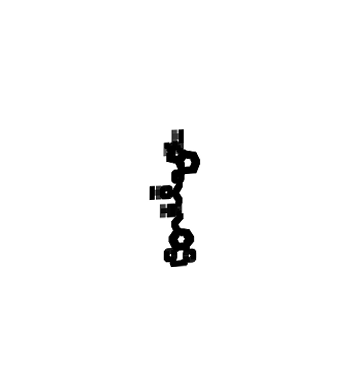 OC(CNCCc1ccc2c(c1)OCCO2)COc1cccc2[nH]ncc12